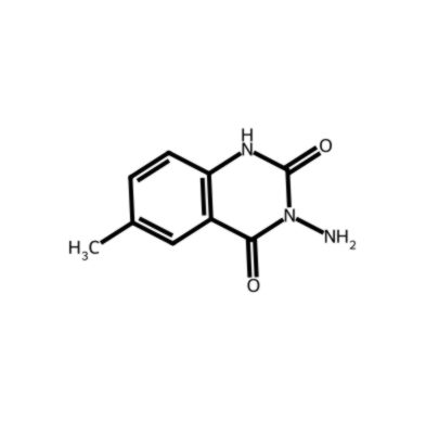 Cc1ccc2[nH]c(=O)n(N)c(=O)c2c1